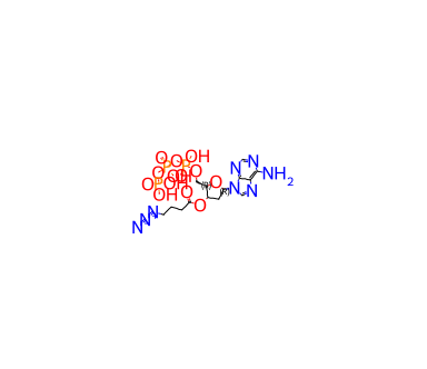 [N-]=[N+]=NCCCC(=O)OC1C[C@H](n2cnc3c(N)ncnc32)O[C@@H]1COP(=O)(O)OP(=O)(O)OP(=O)(O)O